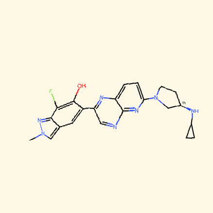 Cn1cc2cc(-c3cnc4nc(N5CC[C@@H](NC6CC6)C5)ccc4n3)c(O)c(F)c2n1